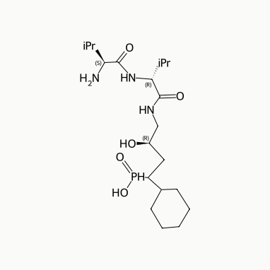 CC(C)[C@H](N)C(=O)N[C@@H](C(=O)NC[C@H](O)CC(C1CCCCC1)[PH](=O)O)C(C)C